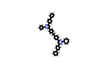 CC(C)(c1ccc(-c2cc(-c3ccc(-c4ccccc4)cc3)nc(C3=CC=CC=CC3)n2)cc1)c1ccc(-c2cc(-c3ccc(-c4ccccc4)cc3)nc(-c3ccccc3)n2)cc1